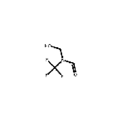 O=[C]N(CO)C(F)(F)F